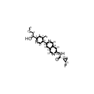 CSCC(O)c1cc(C)c(-c2cc3cnc(NC(=O)[C@@H]4C[C@@H]4F)cc3cn2)cn1